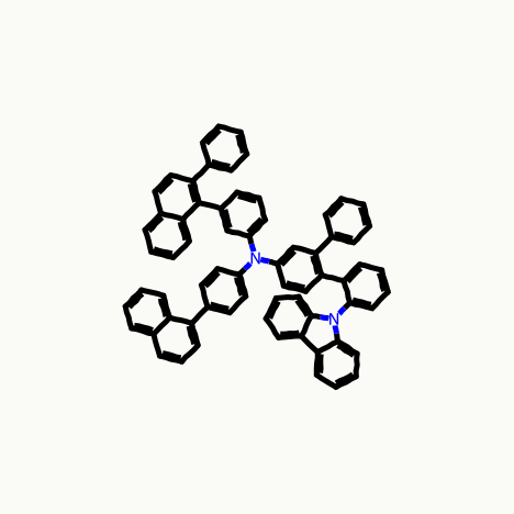 c1ccc(-c2cc(N(c3ccc(-c4cccc5ccccc45)cc3)c3cccc(-c4c(-c5ccccc5)ccc5ccccc45)c3)ccc2-c2ccccc2-n2c3ccccc3c3ccccc32)cc1